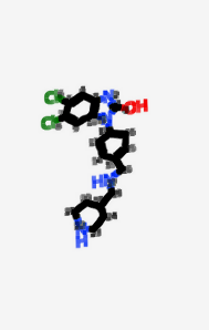 Oc1nc2cc(Cl)c(Cl)cc2n1-c1ccc(CNCC2CCNCC2)cc1